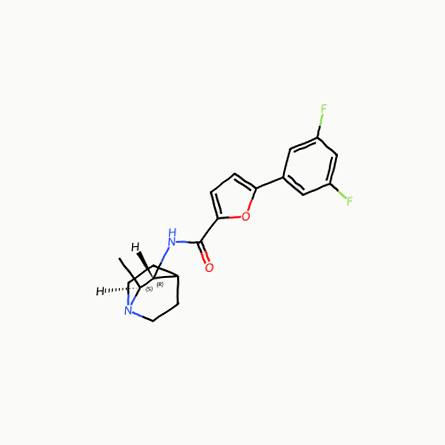 C[C@H]1[C@H](NC(=O)c2ccc(-c3cc(F)cc(F)c3)o2)C2CCN1CC2